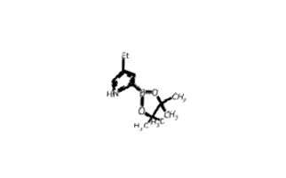 CCc1c[nH]c(B2OC(C)(C)C(C)(C)O2)c1